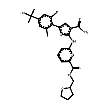 CC(C)(O)c1cc(F)c(-c2cc(C(N)=O)c(Nc3cccc(C(=O)NCC4CCCO4)n3)s2)c(F)c1